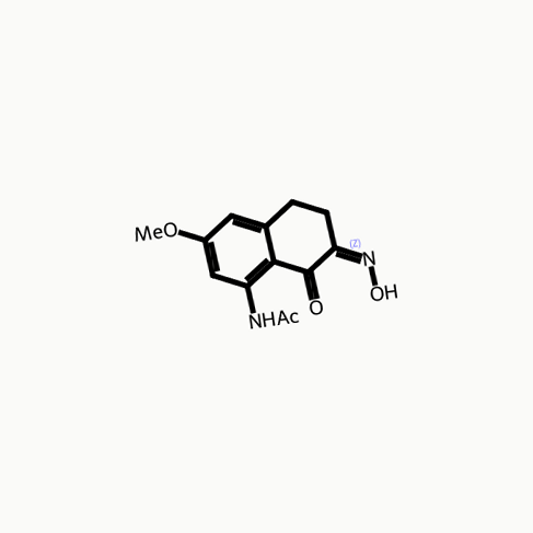 COc1cc2c(c(NC(C)=O)c1)C(=O)/C(=N\O)CC2